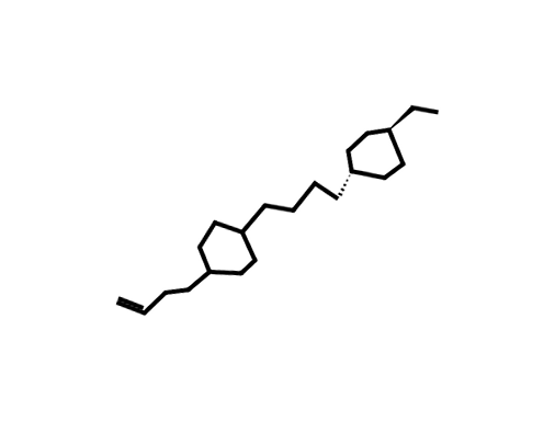 C=CCCC1CCC(CCCC[C@H]2CC[C@H](CC)CC2)CC1